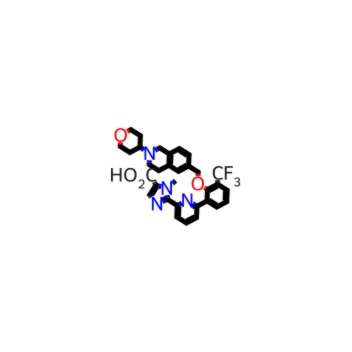 Cn1c(C(=O)O)cnc1-c1cccc(-c2cccc(C(F)(F)F)c2OCc2ccc3c(c2)CCN(C2CCOCC2)C3)n1